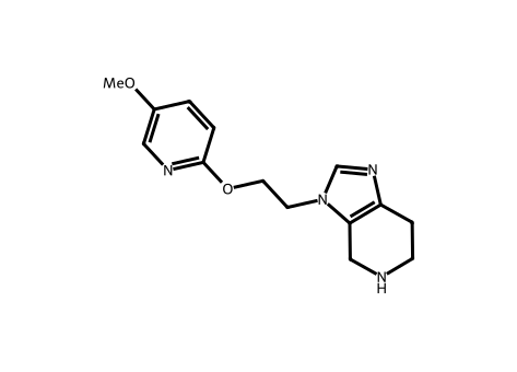 COc1ccc(OCCn2cnc3c2CNCC3)nc1